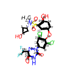 CN([C@H]1C[C@H](O)C1)S(=O)(=O)c1cc(Oc2c(Cl)cc(-n3nc(C(F)F)c(=O)[nH]c3=O)cc2Cl)ccc1O